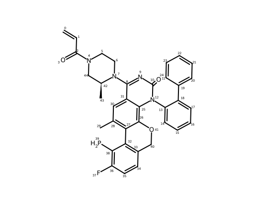 C=CC(=O)N1CCN(c2nc(=O)n(-c3ccccc3-c3ccccc3)c3c4c(c(C)cc23)-c2c(ccc(F)c2P)CO4)[C@@H](C)C1